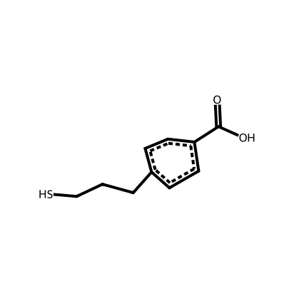 O=C(O)c1ccc(CCCS)cc1